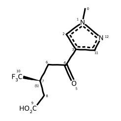 Cn1cc(C(=O)C[C@@H](CC(=O)O)C(F)(F)F)cn1